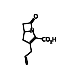 C=CCC1=C(C(=O)O)N2C(=O)CC2C1